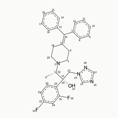 C[C@H](N1CCC(=C(c2ccccc2)c2ccccc2)CC1)[C@@](O)(Cn1cncn1)c1ccc(F)cc1F